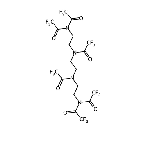 O=C(N(CCN(CCN(C(=O)C(F)(F)F)C(=O)C(F)(F)F)C(=O)C(F)(F)F)CCN(C(=O)C(F)(F)F)C(=O)C(F)(F)F)C(F)(F)F